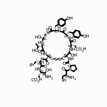 CC(C)C[C@H](NC(=O)[C@@H]1CSSC[C@H](NC(=O)[C@@H]2CCCN2C(=O)[C@@H](N)CC(C)C)C(O)N[C@@H](CC(=O)O)C(=O)N[C@@H](Cc2ccc(O)cc2)C(=O)N[C@@H](Cc2ccc(O)cc2)C(=O)NC[C@@H](O)N[C@@H](C(C)O)C(=O)N1)C(=O)N[C@@H](CC(=O)O)[C@H](N)O